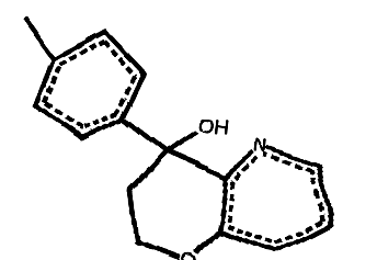 Cc1ccc(C2(O)CCOc3cccnc32)cc1